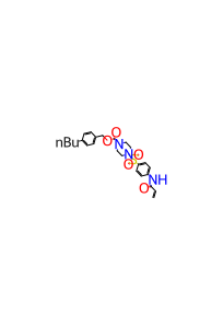 C=CC(=O)Nc1ccc(S(=O)(=O)N2CCN(C(=O)OCc3ccc(CCCC)cc3)CC2)cc1